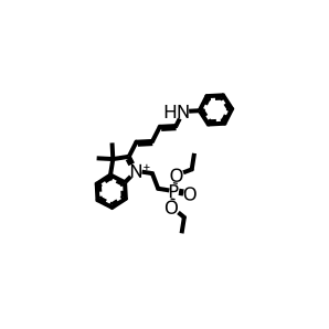 CCOP(=O)(CC[N+]1=C(/C=C/C=C/Nc2ccccc2)C(C)(C)c2ccccc21)OCC